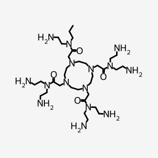 CCCN(CCN)C(=O)CN1CCN(CC(=O)N(CCN)CCN)CCN(CC(=O)N(CCN)CCN)CCN(CC(=O)N(CCN)CCN)CC1